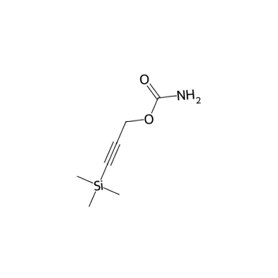 C[Si](C)(C)C#CCOC(N)=O